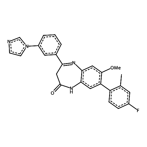 COc1cc2c(cc1-c1ccc(F)cc1C)NC(=O)CC(c1cccc(-n3ccnc3)c1)=N2